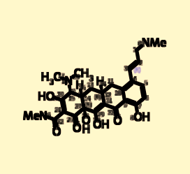 CNC/C=C/c1ccc(O)c2c1C[C@H]1C[C@H]3[C@H](N(C)C)C(O)=C(C(=O)NC)C(=O)[C@@]3(O)C(O)=C1C2=O